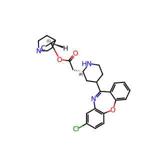 O=C(C[C@H]1CC(C2=Nc3cc(Cl)ccc3Oc3ccccc32)CCN1)O[C@@H]1CN2CCC1CC2